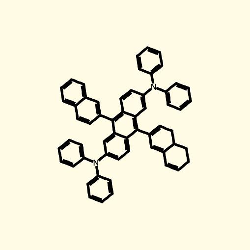 C1=CC2=CC(c3c4cc(N(c5ccccc5)c5ccccc5)ccc4c(-c4ccc5ccccc5c4)c4cc(N(c5ccccc5)c5ccccc5)ccc34)=CCC2CC1